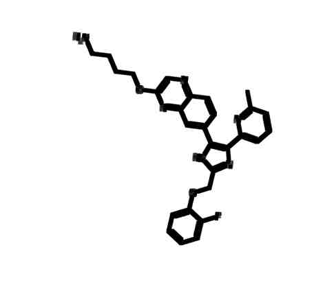 Cc1cccc(-c2nc(COc3ccccc3F)[nH]c2-c2ccc3ncc(OCCCCN)nc3c2)n1